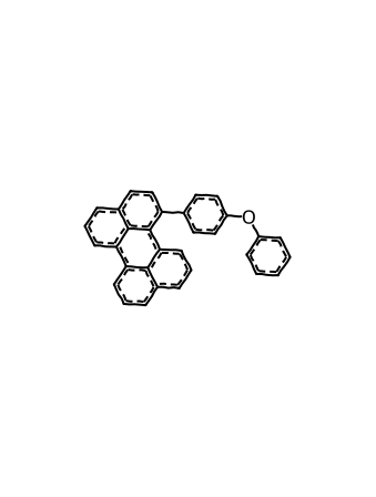 c1ccc(Oc2ccc(-c3ccc4cccc5c6cccc7cccc(c3c45)c76)cc2)cc1